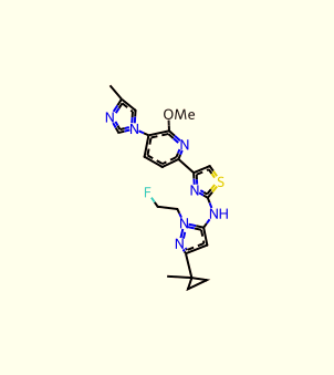 COc1nc(-c2csc(Nc3cc(C4(C)CC4)nn3CCF)n2)ccc1-n1cnc(C)c1